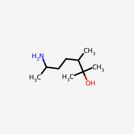 CC(N)CCC(C)C(C)(C)O